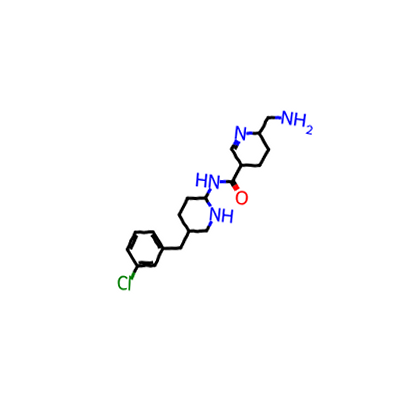 NCC1CCC(C(=O)NC2CCC(Cc3cccc(Cl)c3)CN2)C=N1